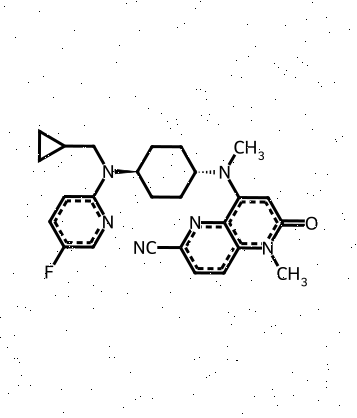 Cn1c(=O)cc(N(C)[C@H]2CC[C@H](N(CC3CC3)c3ccc(F)cn3)CC2)c2nc(C#N)ccc21